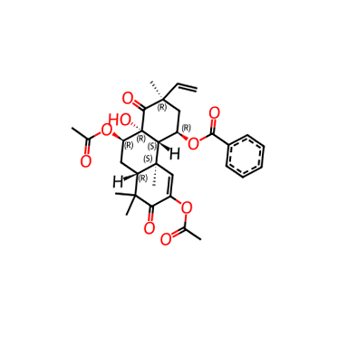 C=C[C@@]1(C)C[C@@H](OC(=O)c2ccccc2)[C@@H]2[C@@]3(C)C=C(OC(C)=O)C(=O)C(C)(C)[C@@H]3C[C@@H](OC(C)=O)[C@@]2(O)C1=O